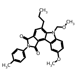 CCCc1cc2c(c3c4cc(OC)ccc4n(COC)c13)C(=O)N(c1ccc(C)cc1)C2=O